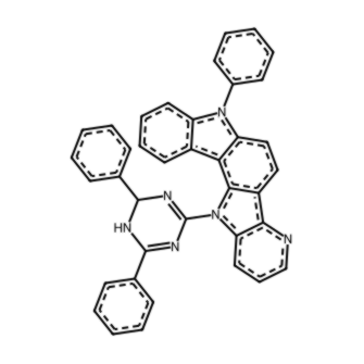 c1ccc(C2=NC(n3c4cccnc4c4ccc5c(c6ccccc6n5-c5ccccc5)c43)=NC(c3ccccc3)N2)cc1